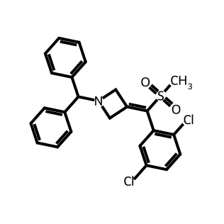 CS(=O)(=O)C(=C1CN(C(c2ccccc2)c2ccccc2)C1)c1cc(Cl)ccc1Cl